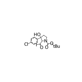 CC(C)(C)OC(=O)N1CCC(O)(c2ccc(Cl)cc2)C1C(=O)I